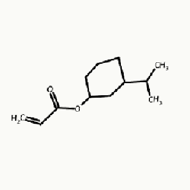 C=CC(=O)OC1CCCC(C(C)C)C1